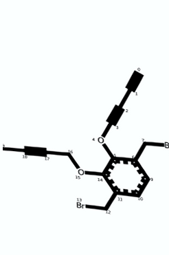 C#CC#COc1c(CBr)ccc(CBr)c1OCC#CC